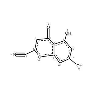 N#Cc1cc(=O)c2c(O)cc(O)cc2o1